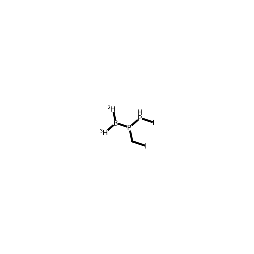 [2H]B([3H])P(CI)PI